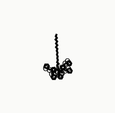 CCCCCCCCCCCCCCCCC=Cn1c(-c2ccc(OC3CCCCO3)c(OC3CCCCO3)c2)c(OC2CCCCO2)c(=O)c2c(OC3CCCCO3)cc(OC3CCCCO3)cc21